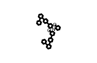 c1ccc(-c2ccccc2-c2ccc(-c3ccc4c(c3)Oc3cc(-c5ccc(-c6ccccc6-c6ccccc6)cc5)cc5c3N4c3ccccc3O5)cc2)cc1